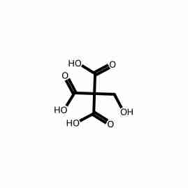 O=C(O)C(CO)(C(=O)O)C(=O)O